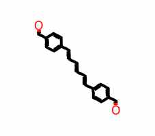 O=Cc1ccc(/C=C/C=C/C=C/c2ccc(C=O)cc2)cc1